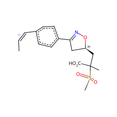 C/C=C\c1ccc(C2=NO[C@@H](CC(C)(C(=O)O)S(C)(=O)=O)C2)cc1